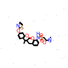 Cc1c(Cc2cccc(NS(=O)(=O)CC(=O)N(C)C)c2)c(=O)oc2cc(Oc3nccs3)ccc12